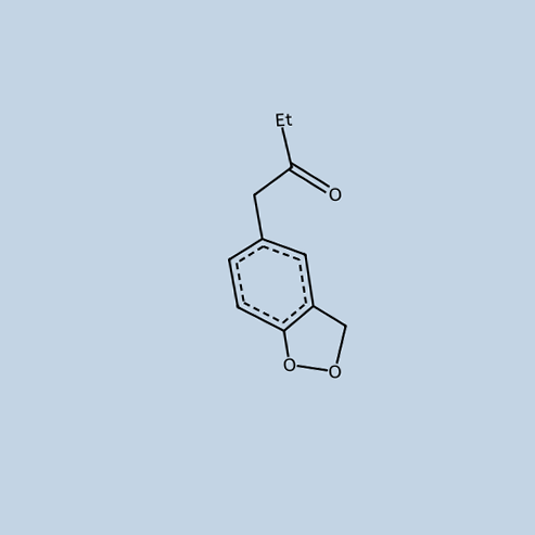 CCC(=O)Cc1ccc2c(c1)COO2